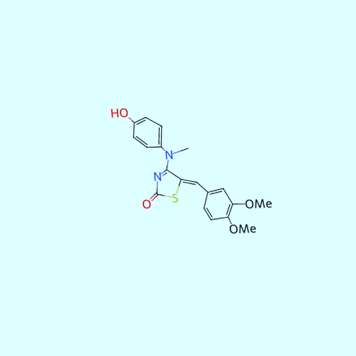 COc1ccc(C=C2SC(=O)N=C2N(C)c2ccc(O)cc2)cc1OC